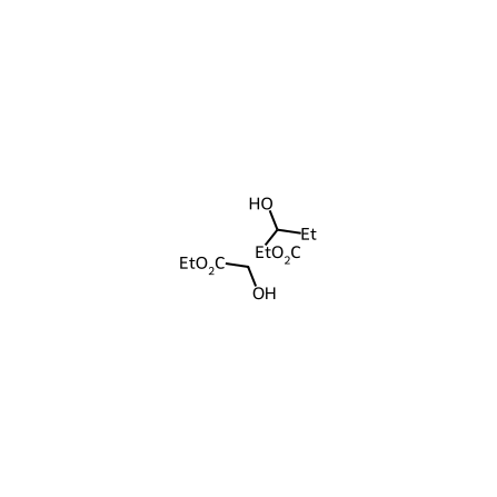 CCOC(=O)C(O)CC.CCOC(=O)CO